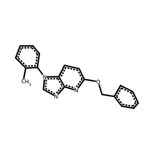 Cc1ccccc1-n1cnc2nc(OCc3ccccc3)ccc21